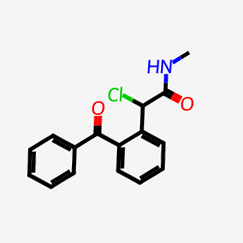 CNC(=O)C(Cl)c1ccccc1C(=O)c1ccccc1